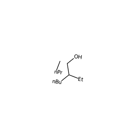 CCCC.CCCCC(CC)CO